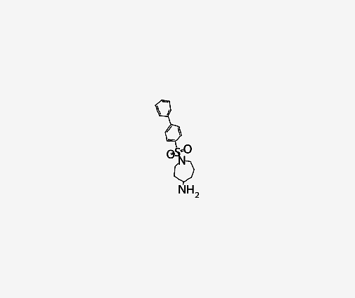 NC1CCCN(S(=O)(=O)c2ccc(-c3ccccc3)cc2)CC1